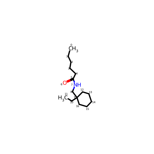 CCCCCC(=O)NCC1(CC)CCCCC1